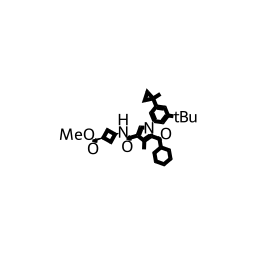 COC(=O)[C@H]1C[C@H](NC(=O)c2cn(-c3cc(C(C)(C)C)cc(C4(C)CC4)c3)c(C(=O)C3CCCCC3)c2C)C1